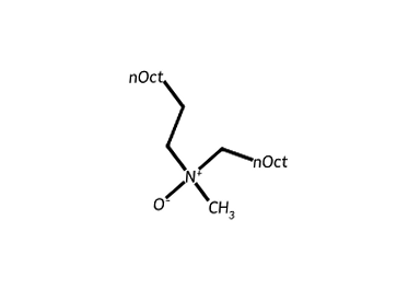 CCCCCCCCCC[N+](C)([O-])CCCCCCCCC